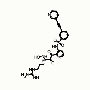 N=C(N)NCCC[C@H](NO)C(=O)C(=O)c1sccc1NS(=O)(=O)c1cccc(C#Cc2cccnc2)c1